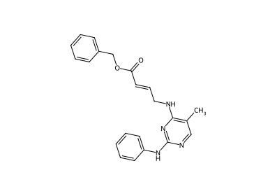 Cc1cnc(Nc2ccccc2)nc1NCC=CC(=O)OCc1ccccc1